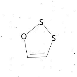 C1=CSSO1